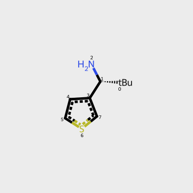 CC(C)(C)[C@@H](N)c1ccsc1